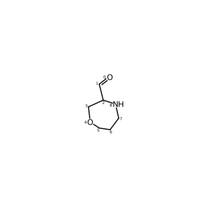 O=CC1COCCCN1